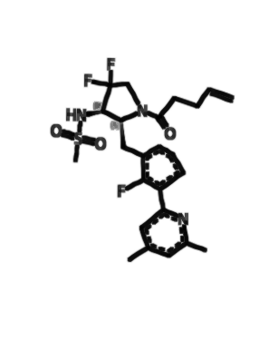 C=CCCC(=O)N1CC(F)(F)[C@H](NS(C)(=O)=O)[C@@H]1Cc1cccc(-c2cc(C)cc(C)n2)c1F